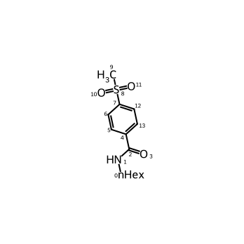 [CH2]CCCCCNC(=O)c1ccc(S(C)(=O)=O)cc1